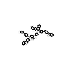 c1ccc(-c2ccc(N(c3ccc4oc5ccccc5c4c3)c3ccc(-c4ccc(-n5c6ccc(-c7ccc8c(c7)oc7ccccc78)cc6c6c7ccccc7c7cc8ccccc8cc7c65)cc4)c4nsnc34)cc2)cc1